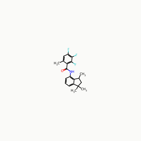 Cc1cc(F)c(F)c(F)c1C(=O)Nc1cccc2c1C(C)CC2(C)C